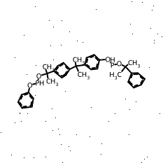 CC(C)(OPOc1ccc(C(C)(C)c2ccc(C(C)(C)OPOc3ccccc3)cc2)cc1)c1ccccc1